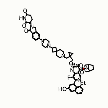 CCc1cccc2cc(O)cc(-c3ncc4c(N5CC6CCC(C5)N6C(=O)OC(C)(C)C)nc(OCC5(CN6CCC7(CC6)CC(N6CCN(c8ccc9c(c8)CN([C@H]8CCC(=O)NC8=O)C9=O)CC6)C7)CC5)nc4c3F)c12